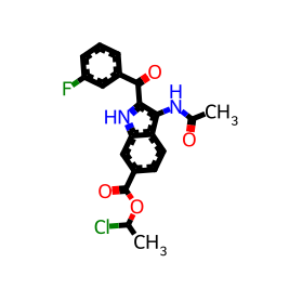 CC(=O)Nc1c(C(=O)c2cccc(F)c2)[nH]c2cc(C(=O)OC(C)Cl)ccc12